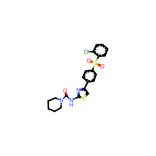 O=C(Nc1nc(-c2ccc(S(=O)(=O)c3ccccc3Cl)cc2)cs1)N1CCCCC1